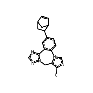 Clc1ncn2c1Cn1ncnc1-c1cc(C3CC4C=CC3C4)ccc1-2